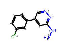 NNc1cc(-c2cccc(Cl)c2)cnn1